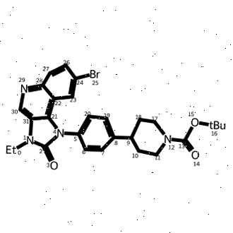 CCn1c(=O)n(-c2ccc(C3CCN(C(=O)OC(C)(C)C)CC3)cc2)c2c3cc(Br)ccc3ncc21